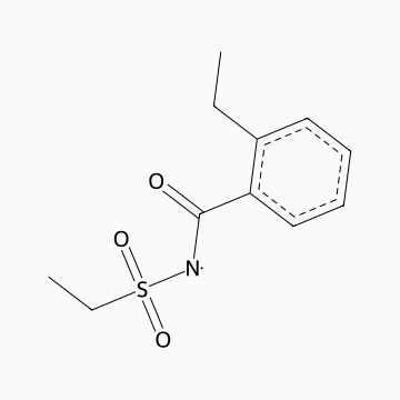 CCc1ccccc1C(=O)[N]S(=O)(=O)CC